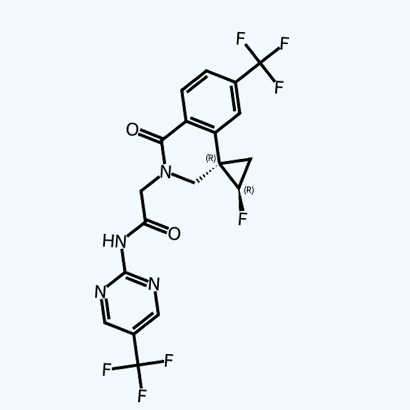 O=C(CN1C[C@@]2(C[C@H]2F)c2cc(C(F)(F)F)ccc2C1=O)Nc1ncc(C(F)(F)F)cn1